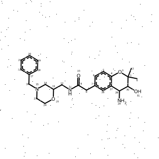 CC1(C)Oc2ccc(CC(=O)NCC3CN(Cc4ccccc4)CCO3)cc2C(N)C1O